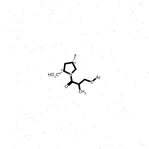 CC(=O)SCC(C)C(=O)N1C[C@@H](F)C[C@H]1C(=O)O